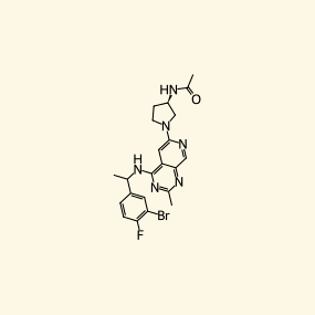 CC(=O)N[C@@H]1CCN(c2cc3c(NC(C)c4ccc(F)c(Br)c4)nc(C)nc3cn2)C1